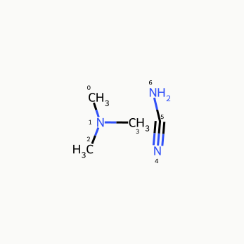 CN(C)C.N#CN